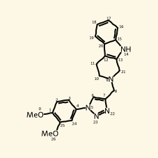 COc1ccc(-n2cc(CN3CCc4c([nH]c5ccccc45)C3)nn2)cc1OC